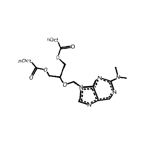 CCCCCCCCC(=O)OCC(COC(=O)CCCCCCCC)OCn1cnc2cnc(N(C)C)nc21